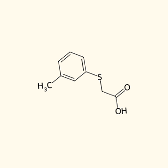 Cc1cccc(SCC(=O)O)c1